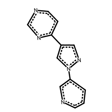 c1cncc(-n2cc(-c3ccncn3)cn2)c1